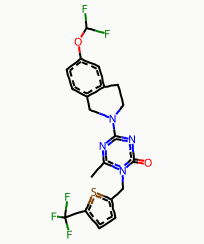 Cc1nc(N2CCc3cc(OC(F)F)ccc3C2)nc(=O)n1Cc1ccc(C(F)(F)F)s1